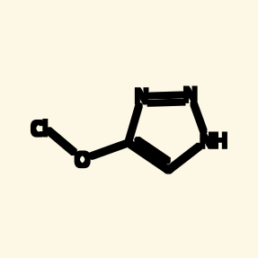 ClOc1c[nH]nn1